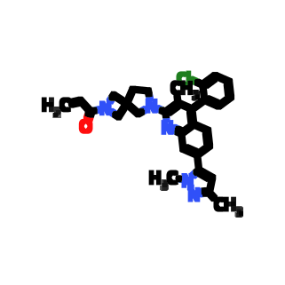 C=CC(=O)N1CC2(CCN(c3nc4cc(-c5cc(C)nn5C)ccc4c(-c4ccccc4Cl)c3C)C2)C1